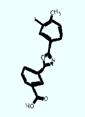 Cc1ccc(-c2nnc(-c3cccc(C(=O)O)c3)o2)cc1I